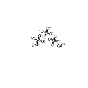 O=[Se](=O)([O-])[O-].O=[Se](=O)([O-])[O-].O=[Se](=O)([O-])[O-].[Gd+3].[Gd+3]